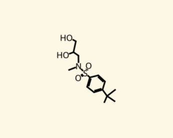 CN(CC(O)CO)S(=O)(=O)c1ccc(C(C)(C)C)cc1